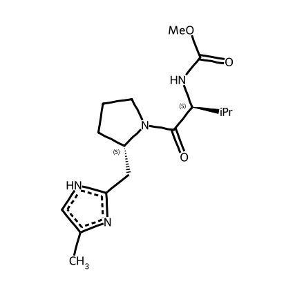 COC(=O)N[C@H](C(=O)N1CCC[C@H]1Cc1nc(C)c[nH]1)C(C)C